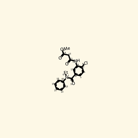 CCN(C(=O)c1ccc(Cl)c(NC(=O)CC(=O)OC)c1)c1ccccc1